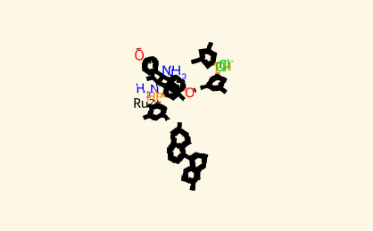 COc1ccc(C(N)(c2ccc(OC)cc2)[C@@](N)(c2c(C)cc(C)cc2Pc2cc(C)cc(C)[c]2[Ru+2])C(C)C)cc1.Cc1cc(C)cc(Pc2cc(C)cc(C)c2)c1.Cc1ccc2c(-c3cccc4cc(C)ccc34)cccc2c1.[Cl-].[Cl-]